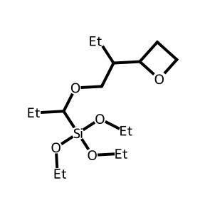 CCO[Si](OCC)(OCC)C(CC)OCC(CC)C1CCO1